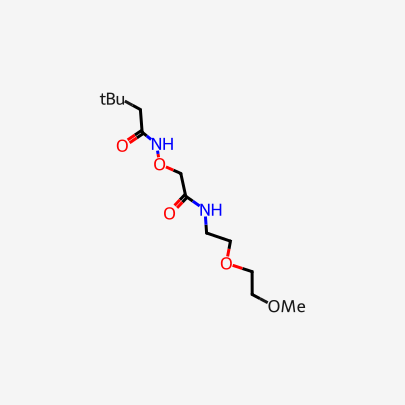 COCCOCCNC(=O)CONC(=O)CC(C)(C)C